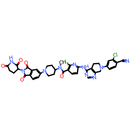 CN(C(=O)c1ccc(Nc2ncnc3c2CCN(c2ccc(C#N)c(Cl)c2)C3)nc1F)C1CCN(c2ccc3c(c2)C(=O)N(C2CCC(=O)NC2=O)C3=O)CC1